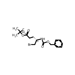 CC(C)(C)OC(=O)CC[C@@H](CBr)NC(=O)OCc1ccccc1